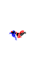 CCCC(=O)OCC(CO)OCn1cnc2c(=O)[nH]c(N)nc21